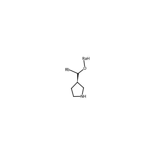 [Rb][CH]([O][RaH])[C@@H]1CCNC1